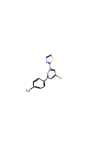 Cc1ccc(-c2cc(Cl)cc(-c3nccs3)n2)cc1